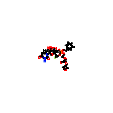 C[C@]1(O)[C@H](n2ccc(=O)[nH]c2=O)O[C@]2(CF)C(OP(=O)(OCOC(=O)OC3COC3)OCc3ccccc3)[C@]12O